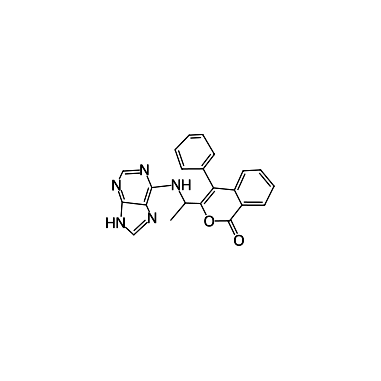 CC(Nc1ncnc2[nH]cnc12)c1oc(=O)c2ccccc2c1-c1ccccc1